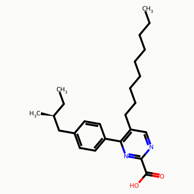 CCCCCCCCCc1cnc(C(=O)O)nc1-c1ccc(C[C@@H](C)CC)cc1